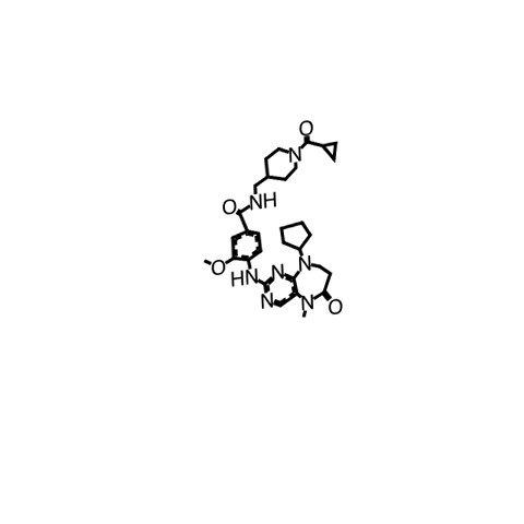 COc1cc(C(=O)NCC2CCN(C(=O)C3CC3)CC2)ccc1Nc1ncc2c(n1)N(C1CCCC1)CCC(=O)N2C